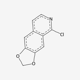 Clc1nccc2cc3c(cc12)OCO3